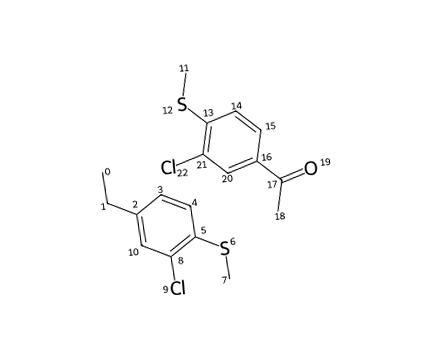 CCc1ccc(SC)c(Cl)c1.CSc1ccc(C(C)=O)cc1Cl